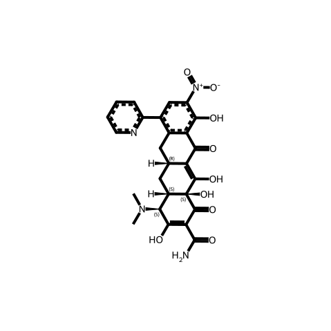 CN(C)[C@@H]1C(O)=C(C(N)=O)C(=O)[C@@]2(O)C(O)=C3C(=O)c4c(O)c([N+](=O)[O-])cc(-c5ccccn5)c4C[C@H]3C[C@@H]12